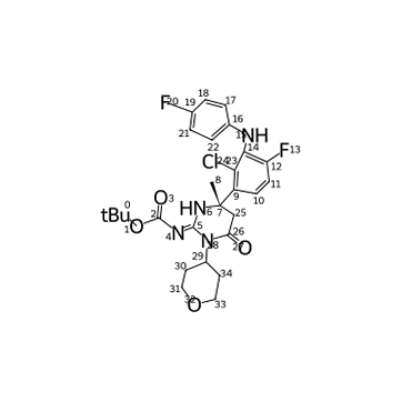 CC(C)(C)OC(=O)/N=C1\N[C@](C)(c2ccc(F)c(Nc3ccc(F)cc3)c2Cl)CC(=O)N1C1CCOCC1